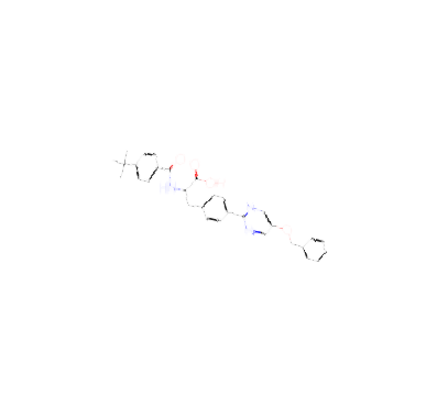 CC(C)(C)c1ccc(C(=O)NC(Cc2ccc(-c3ncc(OCc4ccccc4)cn3)cc2)C(=O)O)cc1